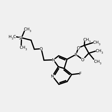 CC1(C)OB(c2cn(COCC[Si](C)(C)C)c3nccc(F)c23)OC1(C)C